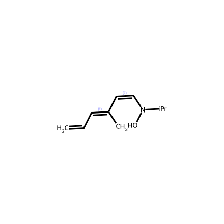 C=C/C=C(C)/C=C\N(O)C(C)C